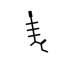 C#CC(C)(C)C(C)(C)C(C)(C)C(C)C(=C)CC